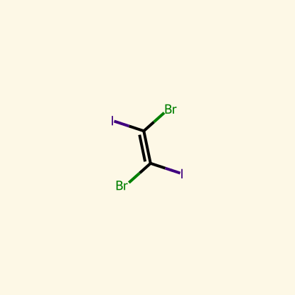 BrC(I)=C(Br)I